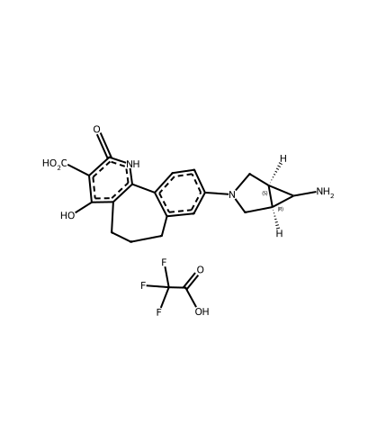 NC1[C@H]2CN(c3ccc4c(c3)CCCc3c-4[nH]c(=O)c(C(=O)O)c3O)C[C@@H]12.O=C(O)C(F)(F)F